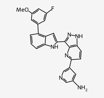 COc1cc(F)cc(-c2cccc3[nH]c(-c4n[nH]c5ccc(-c6cncc(N)c6)nc45)cc23)c1